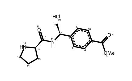 COC(=O)c1ccc([C@H](C)NC(=O)[C@H]2CCCN2)cc1.Cl